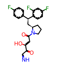 N=CC(=O)/C(O)=C/C(=O)N1CCC[C@@H]1C[C@@H](c1ccc(F)cc1)c1ccc(F)cc1F